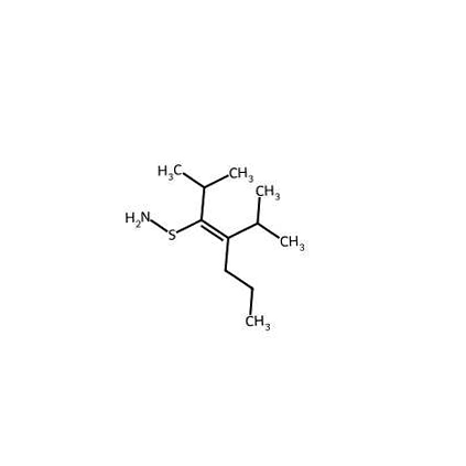 CCC/C(=C(\SN)C(C)C)C(C)C